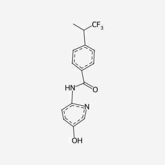 CC(c1ccc(C(=O)Nc2ccc(O)cn2)cc1)C(F)(F)F